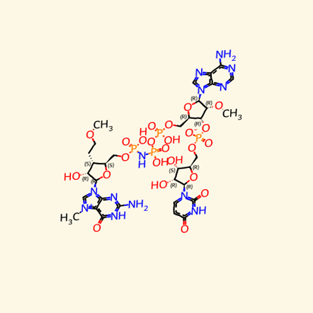 COCC[C@H]1[C@@H](O)[C@H](n2c[n+](C)c3c(=O)[nH]c(N)nc32)O[C@@H]1COP(=O)(O)NP(=O)(O)OP(=O)(O)OC[C@H]1O[C@@H](n2cnc3c(N)ncnc32)[C@H](OC)[C@@H]1OP(=O)([O-])OC[C@H]1O[C@@H](n2ccc(=O)[nH]c2=O)[C@H](O)[C@@H]1O